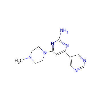 CN1CCN(c2cc(-c3cncnc3)nc(N)n2)CC1